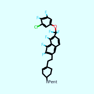 CCCCCC1CC=C(CCc2cc3ccc(C(F)(F)Oc4cc(F)c(F)c(Cl)c4)c(F)c3c(F)c2F)CC1